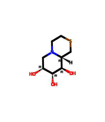 O[C@H]1[C@H](O)[C@@H]2CSCCN2C[C@H]1O